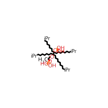 CC(C)CCCCCCCCC(CCCCCCCC(C)C)(OCC(C)OP(O)O)C(CCCCCCCC(C)C)(CCCCCCCC(C)C)OP(O)O